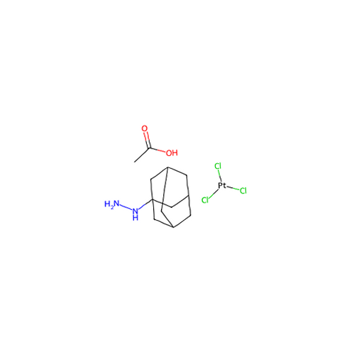 CC(=O)O.NNC12CC3CC(CC(C3)C1)C2.[Cl][Pt]([Cl])[Cl]